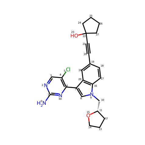 Nc1ncc(Cl)c(-c2cn(C[C@@H]3CCCO3)c3ccc(C#CC4(O)CCCC4)cc23)n1